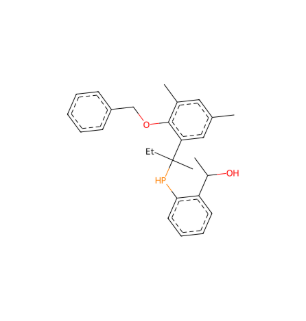 CCC(C)(Pc1ccccc1C(C)O)c1cc(C)cc(C)c1OCc1ccccc1